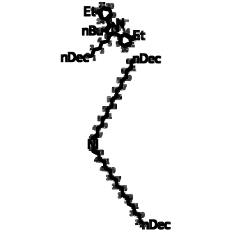 CCCCCCCCCCCCCCCC1=C(c2cccc(CC)c2)[N+](=[N-])C(c2cccc(CC)c2)=C1CCCC.CCCCCCCCCCCCCCCCCCCCCCCCCC=[CH][Ni][CH]=CCCCCCCCCCCCCCCCCCCCCCCCCC